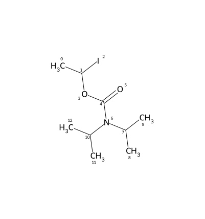 CC(I)OC(=O)N(C(C)C)C(C)C